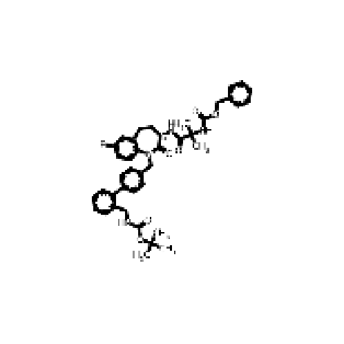 CC(C)(C)OC(=O)NCc1ccccc1-c1ccc(CN2C(=O)[C@H](NC(=O)C(C)(C)NC(=O)OCc3ccccc3)CCc3cc(F)ccc32)cc1